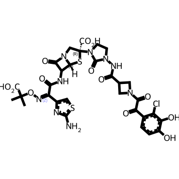 CC(C)(O/N=C(\C(=O)NC1C(=O)N2C[C@@](C(=O)O)(N3CCN(NC(=O)C4CN(C(=O)C(=O)c5ccc(O)c(O)c5Cl)C4)C3=O)S[C@H]12)c1csc(N)n1)C(=O)O